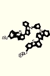 CC(C)(C)c1ccc2sc3c(-c4ccc5c(c4)c4ccccc4n5-c4cccc(-n5c6ccccc6c6cc(-c7cccc8c7sc7ccc(C(C)(C)C)cc78)ccc65)c4)cccc3c2c1